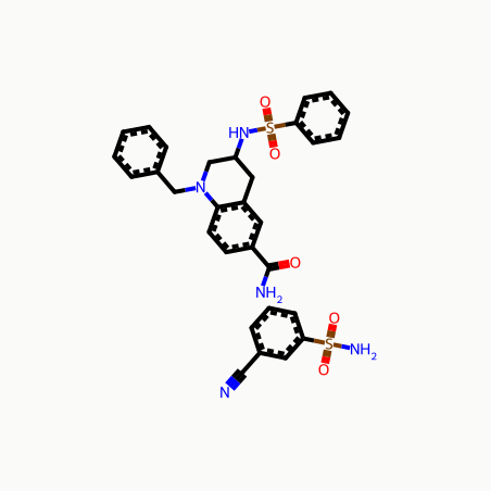 N#Cc1cccc(S(N)(=O)=O)c1.NC(=O)c1ccc2c(c1)CC(NS(=O)(=O)c1ccccc1)CN2Cc1ccccc1